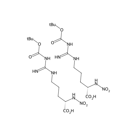 CC(C)(C)OC(=O)NC(=N)NCCC[C@H](N[N+](=O)[O-])C(=O)O.CC(C)(C)OC(=O)NC(=N)NCCC[C@H](N[N+](=O)[O-])C(=O)O